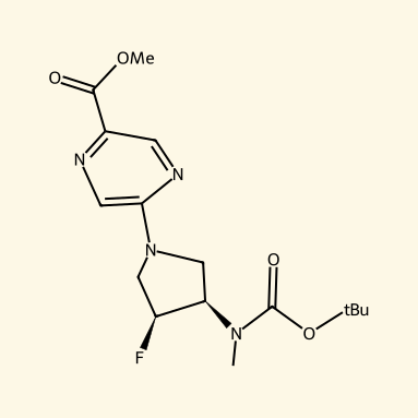 COC(=O)c1cnc(N2C[C@@H](N(C)C(=O)OC(C)(C)C)[C@@H](F)C2)cn1